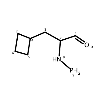 O=CC(CC1CCC1)NP